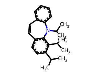 CC(C)c1ccc2c(c1C(C)C)N(C(C)C)c1ccccc1C=C2